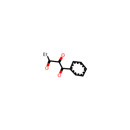 CCC(=O)C(=O)C(=O)c1ccccc1